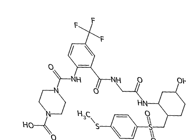 CSc1ccc(S(=O)(=O)CC2CCC(O)CC2NC(=O)CNC(=O)c2cc(C(F)(F)F)ccc2NC(=O)N2CCN(C(=O)O)CC2)cc1